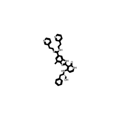 Cc1cc(/C(=N/CCc2cccnc2)NCCc2cccnc2)cc2[nH]c(-c3c(N[C@H](CO)Cc4ccccc4)cc[nH]c3=O)nc12